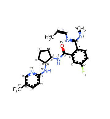 C=N/C(=N\C=C/C)c1ccc(F)cc1C(=O)N[C@@H]1CCC[C@@H]1Nc1ccc(C(F)(F)F)cn1